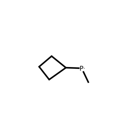 C[P]C1CCC1